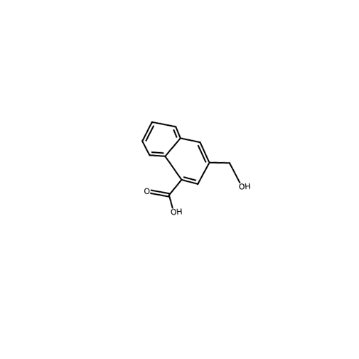 O=C(O)c1cc(CO)cc2ccccc12